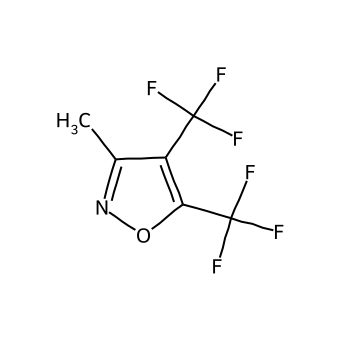 Cc1noc(C(F)(F)F)c1C(F)(F)F